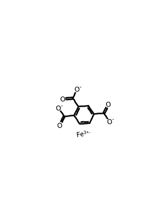 O=C([O-])c1ccc(C(=O)[O-])c(C(=O)[O-])c1.[Fe+3]